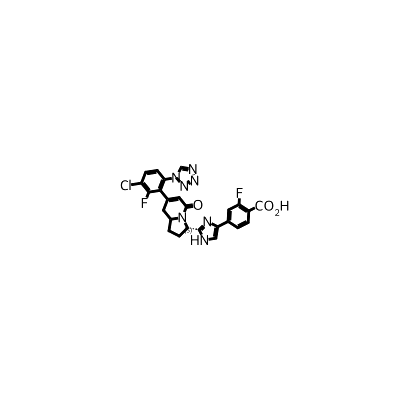 O=C(O)c1ccc(-c2c[nH]c([C@@H]3CCC4CC(c5c(-n6cnnn6)ccc(Cl)c5F)=CC(=O)N43)n2)cc1F